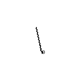 CCCCCCCCCCCCCC=CCC=CC1=CO1